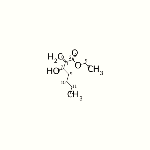 C=C(C(=O)OCC)C(O)CCCC